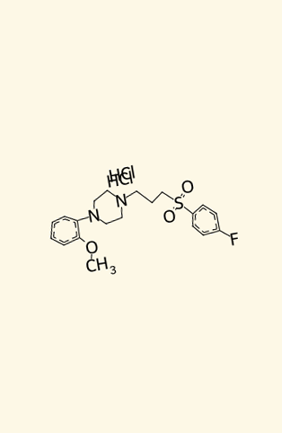 COc1ccccc1N1CCN(CCCS(=O)(=O)c2ccc(F)cc2)CC1.Cl.Cl